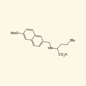 COc1ccc2cc(CNC(CCC(C)(C)C)C(=O)O)ccc2c1